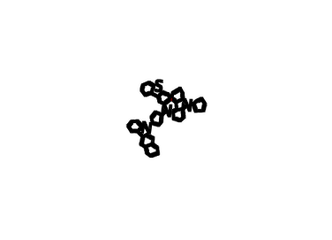 c1ccc(-n2c3ccccc3c3c(N(c4ccc(-n5c6ccccc6c6cc7ccccc7cc65)cc4)c4ccc5sc6ccccc6c5c4)cccc32)cc1